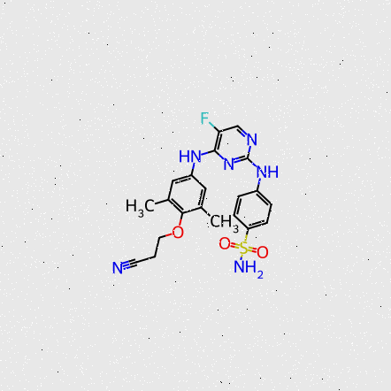 Cc1cc(Nc2nc(Nc3ccc(S(N)(=O)=O)cc3)ncc2F)cc(C)c1OCCC#N